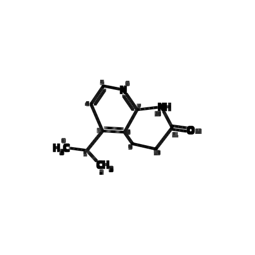 CC(C)c1ccnc2c1CCC(=O)N2